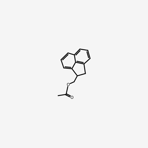 CC(=O)OCC1Cc2cccc3cccc1c23